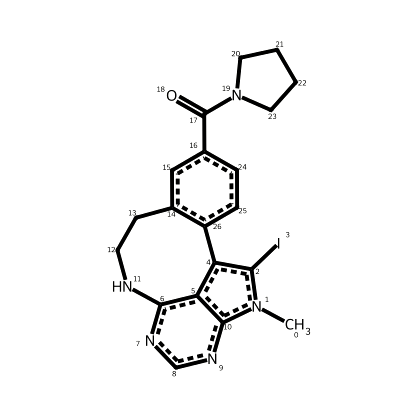 Cn1c(I)c2c3c(ncnc31)NCCc1cc(C(=O)N3CCCC3)ccc1-2